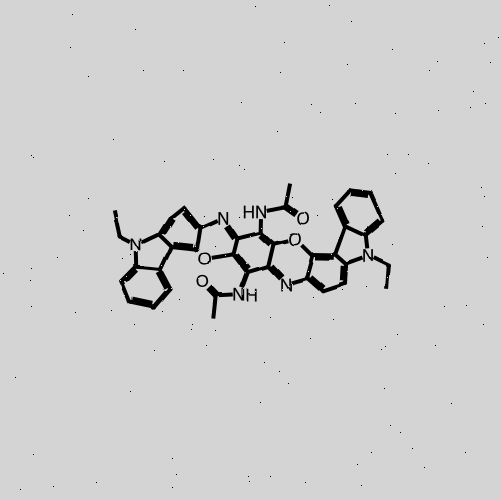 CCn1c2ccccc2c2c3c(ccc21)N=c1c(NC(C)=O)c2c(c(NC(C)=O)c1O3)=Nc1ccc3c(c1O2)c1ccccc1n3CC